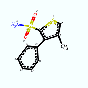 Cc1csc(S(N)(=O)=O)c1-c1ccccc1